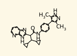 Cc1n[nH]c(C)c1-c1ccc(NC(=O)C(c2nc3cccnc3[nH]2)C(C2CC2)C2CC2)cc1